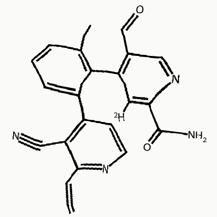 [2H]c1c(C(N)=O)ncc(C=O)c1-c1c(C)cccc1-c1ccnc(C=C)c1C#N